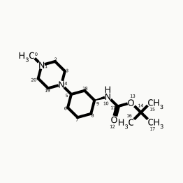 CN1CCN(C2CCC[C@H](NC(=O)OC(C)(C)C)C2)CC1